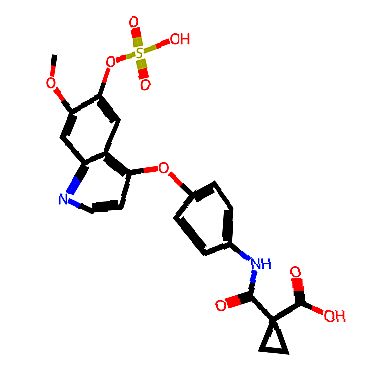 COc1cc2nccc(Oc3ccc(NC(=O)C4(C(=O)O)CC4)cc3)c2cc1OS(=O)(=O)O